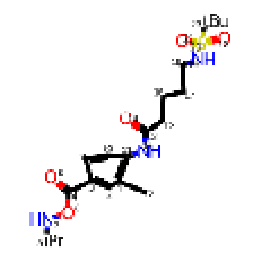 Cc1cc(C(=O)ONC(C)C)ccc1NC(=O)CCCCNS(=O)(=O)C(C)(C)C